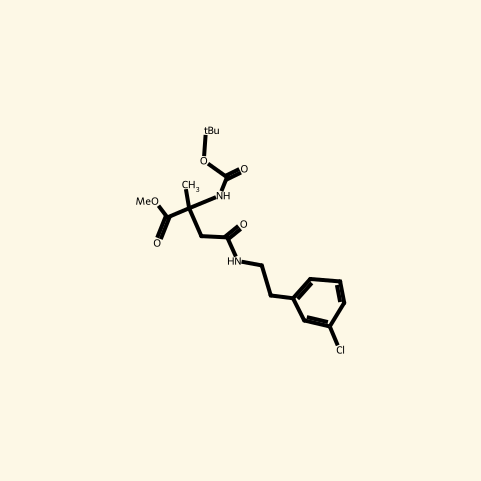 COC(=O)C(C)(CC(=O)NCCc1cccc(Cl)c1)NC(=O)OC(C)(C)C